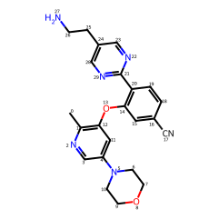 Cc1ncc(N2CCOCC2)cc1Oc1cc(C#N)ccc1-c1ncc(CCN)cn1